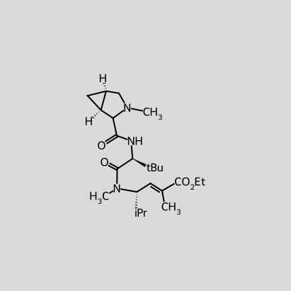 CCOC(=O)/C(C)=C/[C@H](C(C)C)N(C)C(=O)[C@@H](NC(=O)C1[C@H]2C[C@H]2CN1C)C(C)(C)C